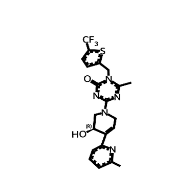 Cc1cccc(C2=CCN(c3nc(C)n(Cc4ccc(C(F)(F)F)s4)c(=O)n3)C[C@@H]2O)n1